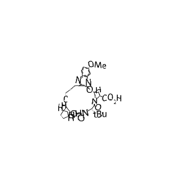 COc1ccc2nc3c(nc2c1)O[C@@H]1C[C@@H](C(=O)O)N(C1)C(=O)[C@H](C(C)(C)C)NC(=O)O[C@@H]1[C@H]2CC[C@H](C2)[C@H]1CCCCC3